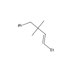 [CH2]C(C)CC(C)(C)/C=C/CC